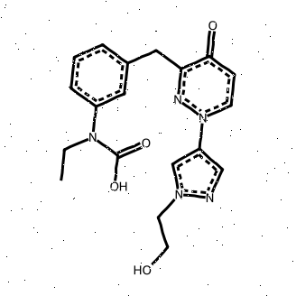 CCN(C(=O)O)c1cccc(Cc2nn(-c3cnn(CCO)c3)ccc2=O)c1